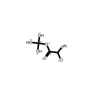 CCCC(Cl)C(=O)OC(O)(O)O